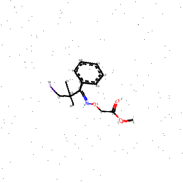 COC(=O)CO/N=C(\c1ccccc1)C(C)(C)CI